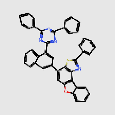 c1ccc(-c2nc(-c3ccccc3)nc(-c3cc(-c4cc5oc6ccccc6c5c5nc(-c6ccccc6)sc45)cc4ccccc34)n2)cc1